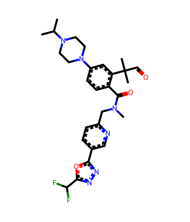 CC(C)N1CCN(c2ccc(C(=O)N(C)Cc3ccc(-c4nnc(C(F)F)o4)cn3)c(C(C)(C)C=O)c2)CC1